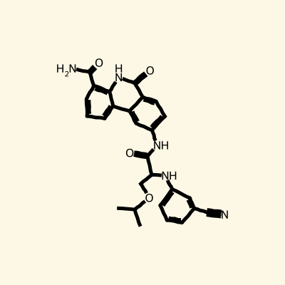 CC(C)OCC(Nc1cccc(C#N)c1)C(=O)Nc1ccc2c(=O)[nH]c3c(C(N)=O)cccc3c2c1